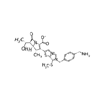 CSc1c2sc(C3=C(C(=O)[O-])N4C(=O)[C@H]([C@@H](C)O)[C@@H]4[C@H]3C)c[n+]2cn1Cc1ccc(CN)cc1